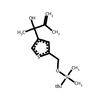 C=C(C)C(C)(O)c1csc(CO[Si](C)(C)C(C)(C)C)c1